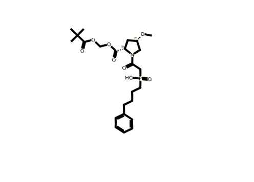 CO[C@H]1C[C@@H](C(=O)OCOC(=O)C(C)(C)C)N(C(=O)CP(=O)(O)CCCCc2ccccc2)C1